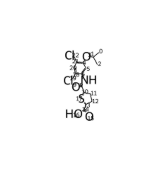 CC(C)Oc1cc(NC(=O)C2CCC(C(=O)O)S2)c(Cl)cc1Cl